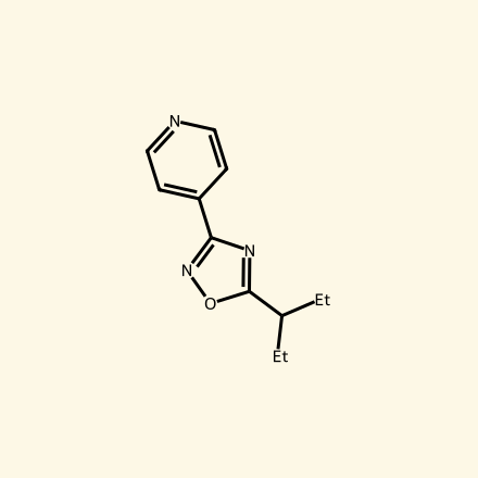 CCC(CC)c1nc(-c2ccncc2)no1